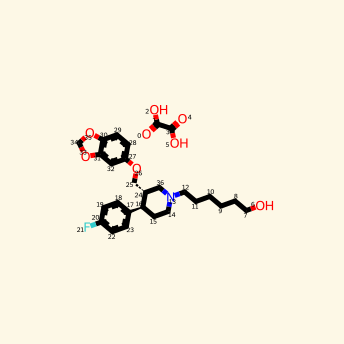 O=C(O)C(=O)O.OCCCCCCN1CC[C@@H](c2ccc(F)cc2)[C@H](COc2ccc3c(c2)OCO3)C1